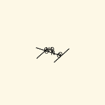 CCCCCCCCCCCCC(CCCCCCCCCC)C(=O)OCCCCCCN(CCCO)CCCCCCOC(O)C(CCCCCCCCCC)CCCCCCCCCCCC